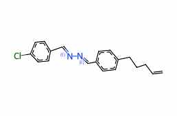 C=CCCCc1ccc(/C=N/N=C/c2ccc(Cl)cc2)cc1